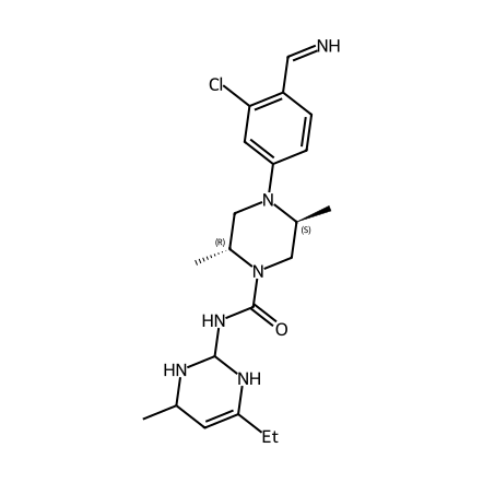 CCC1=CC(C)NC(NC(=O)N2C[C@H](C)N(c3ccc(C=N)c(Cl)c3)C[C@H]2C)N1